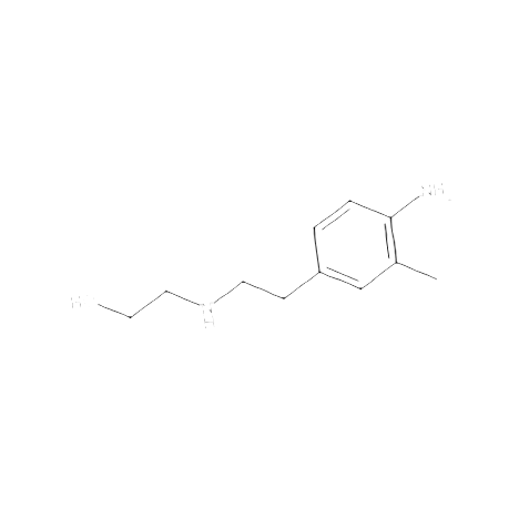 Cc1cc(CCNCCO)ccc1N